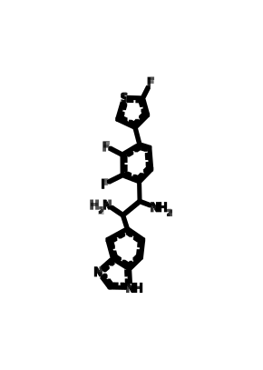 NC(c1ccc2[nH]cnc2c1)C(N)c1ccc(-c2csc(F)c2)c(F)c1F